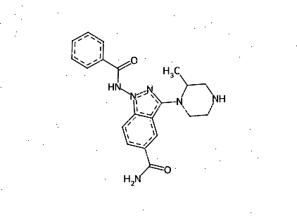 CC1CNCCN1c1nn(NC(=O)c2ccccc2)c2ccc(C(N)=O)cc12